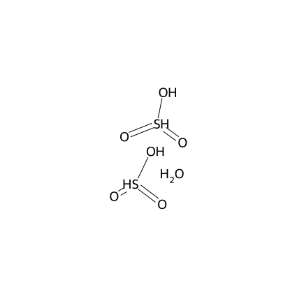 O.O=[SH](=O)O.O=[SH](=O)O